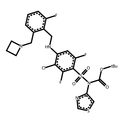 CC(C)(C)OC(=O)N(c1cscn1)S(=O)(=O)c1c(F)cc(NCc2c(F)cccc2CN2CCC2)c(Cl)c1F